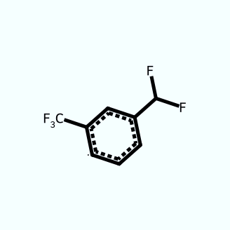 FC(F)c1cc[c]c(C(F)(F)F)c1